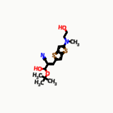 CN(CCO)c1cc2sc(/C=C(\C#N)C(O)OC(C)(C)C)cc2s1